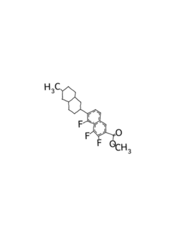 COC(=O)c1cc2ccc(C3CCC4CC(C)CCC4C3)c(F)c2c(F)c1F